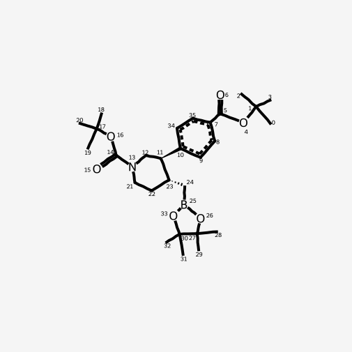 CC(C)(C)OC(=O)c1ccc([C@@H]2CN(C(=O)OC(C)(C)C)CC[C@H]2CB2OC(C)(C)C(C)(C)O2)cc1